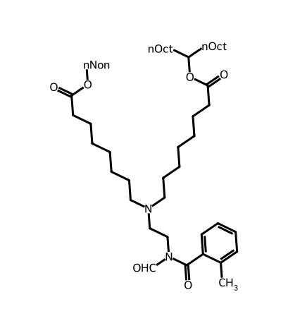 CCCCCCCCCOC(=O)CCCCCCCN(CCCCCCCC(=O)OC(CCCCCCCC)CCCCCCCC)CCN(C=O)C(=O)c1ccccc1C